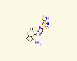 Cc1nc(S(=O)(=O)Nc2cscn2)ccc1NCc1c(F)cccc1CN